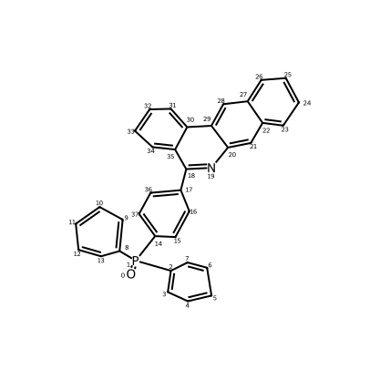 O=P(c1ccccc1)(c1ccccc1)c1ccc(-c2nc3cc4ccccc4cc3c3ccccc23)cc1